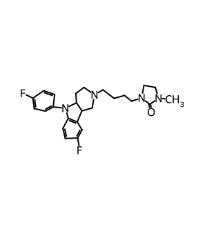 CN1CCN(CCCCN2CCC3C(C2)c2cc(F)ccc2N3c2ccc(F)cc2)C1=O